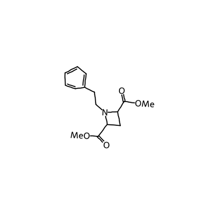 COC(=O)C1CC(C(=O)OC)N1CCc1ccccc1